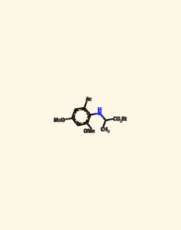 CCOC(=O)C(C)Nc1c(OC)cc(OC)cc1C(C)=O